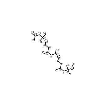 COC(C)(C)CC(C)CCOC(C)CC(C)CCOC(C)(C)CC(C)C